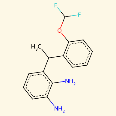 CC(c1ccccc1OC(F)F)c1cccc(N)c1N